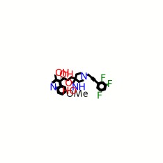 COc1ccc2ncc(CO)c([C@H](O)CCC3(C(=O)NO)CCN(CC#Cc4cc(F)cc(F)c4F)CC3)c2c1